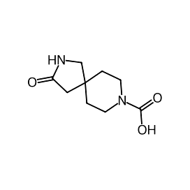 O=C1CC2(CCN(C(=O)O)CC2)CN1